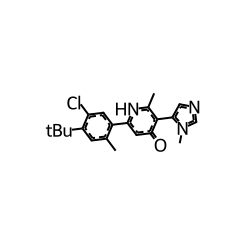 Cc1cc(C(C)(C)C)c(Cl)cc1-c1cc(=O)c(-c2cncn2C)c(C)[nH]1